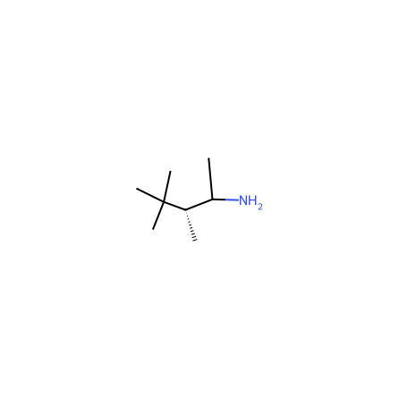 CC(N)[C@H](C)C(C)(C)C